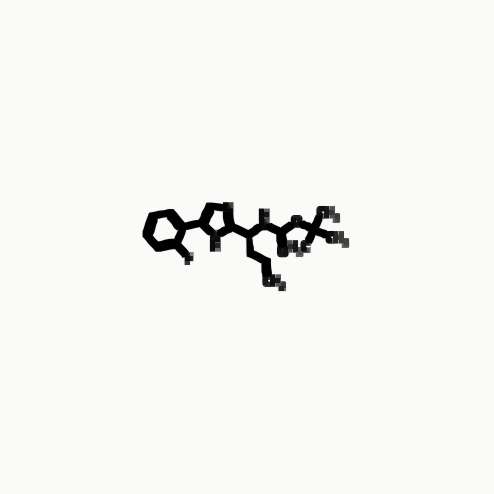 C=CC[C@H](NC(=O)OC(C)(C)C)c1ncc(-c2ccccc2F)[nH]1